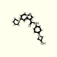 O=C(Nc1ccc(N2CC(O)C2)cc1)c1cnn2ccc(N3CCCC3)cc12